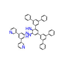 N=C1C(c2cc(-c3ccccc3)cc(-c3ccccc3)c2)=CC(c2cc(-c3ccccc3)cc(-c3ccccc3)c2)=C/C1=N/Nc1cc(-c2cccnc2)cc(-c2cccnc2)c1